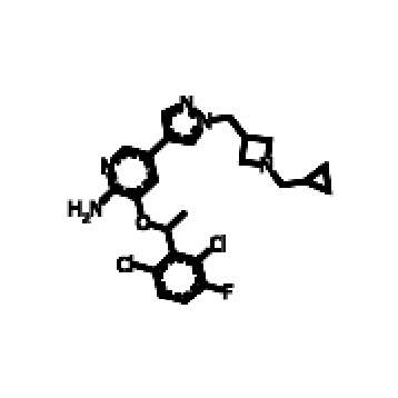 CC(Oc1cc(-c2cnn(CC3CN(CC4CC4)C3)c2)cnc1N)c1c(Cl)ccc(F)c1Cl